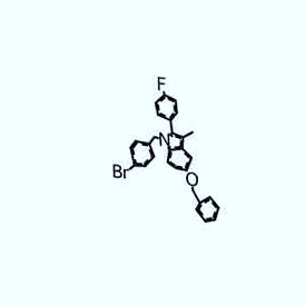 Cc1c(-c2ccc(F)cc2)n(Cc2ccc(Br)cc2)c2ccc(OCc3ccccc3)cc12